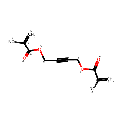 C=C(C#N)C(=O)OCC#CCOC(=O)C(=C)C#N